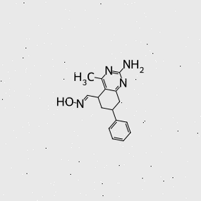 Cc1nc(N)nc2c1C(C=NO)CC(c1ccccc1)C2